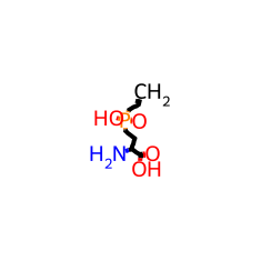 C=CCP(=O)(O)CCC(N)C(=O)O